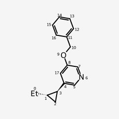 CC[C@H]1C[C@@H]1c1cncc(OCc2ccccc2)c1